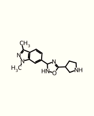 Cc1nn(C)c2cc(C3N=C(C4CCNC4)ON3)ccc12